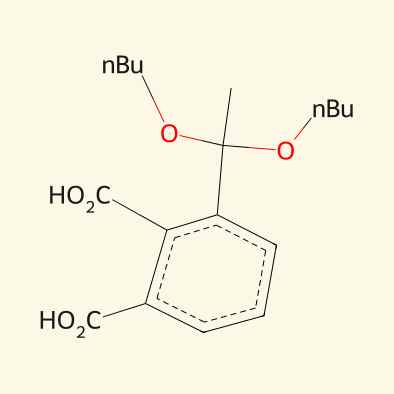 CCCCOC(C)(OCCCC)c1cccc(C(=O)O)c1C(=O)O